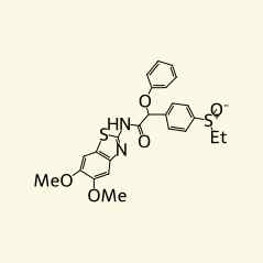 CC[S+]([O-])c1ccc(C(Oc2ccccc2)C(=O)Nc2nc3cc(OC)c(OC)cc3s2)cc1